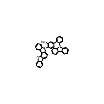 N#Cc1cc(-c2ccccc2-n2c3ccccc3c3ccccc32)ccc1-n1c2ccccc2c2c3oc4ccccc4c3ccc21